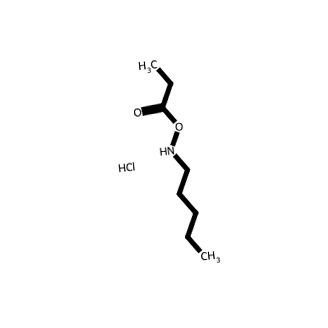 CCCCCNOC(=O)CC.Cl